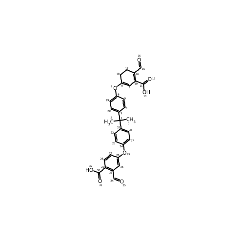 CC(C)(c1ccc(OC2=CC(C(=O)O)=C(C=O)CC2)cc1)c1ccc(Oc2ccc(C(=O)O)c(C=O)c2)cc1